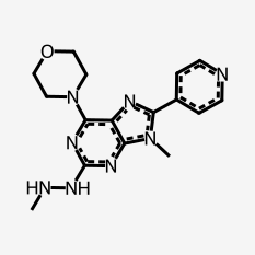 CNNc1nc(N2CCOCC2)c2nc(-c3ccncc3)n(C)c2n1